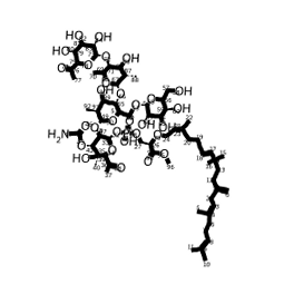 C=C(C/C=C(\C)CCC=C(C)C)CCC(C)(C)/C=C/CC/C(C)=C\CO[C@H](COP(=O)(O)O[C@H]1OC(C(C)=O)[C@@](C)(O)[C@H](OC(N)=O)C1O[C@@H]1OC(CO[C@@H]2OC(CO)[C@@H](O)C(O)[C@@H]2O)[C@@H](O[C@@H]2OC(C)[C@@H](O[C@@H]3OC(C(C)=O)[C@H](O)C(O)[C@@H]3O)C(O)[C@@H]2C)C(O)[C@@H]1C)C(=O)OC